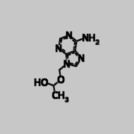 CC(O)OCn1cnc2c(N)ncnc21